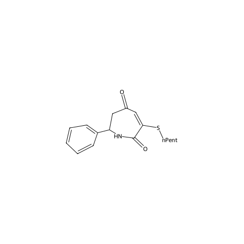 CCCCCSC1=CC(=O)CC(c2ccccc2)NC1=O